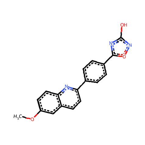 COc1ccc2nc(-c3ccc(-c4nc(O)no4)cc3)ccc2c1